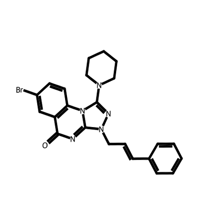 O=c1nc2n(C/C=C/c3ccccc3)nc(N3CCCCC3)n2c2ccc(Br)cc12